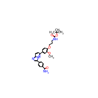 COc1cc(-c2ccc3ncc(-c4ccc(C(N)=O)cc4)n3n2)ccc1OCCCNC(=O)OC(C)(C)C